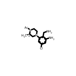 CC(=O)N1CCN(c2cc(Cl)cc(N)c2CN)C[C@H]1C